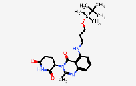 Cc1nc2cccc(NCCCO[Si](C)(C)C(C)(C)C)c2c(=O)n1C1CCC(=O)NC1=O